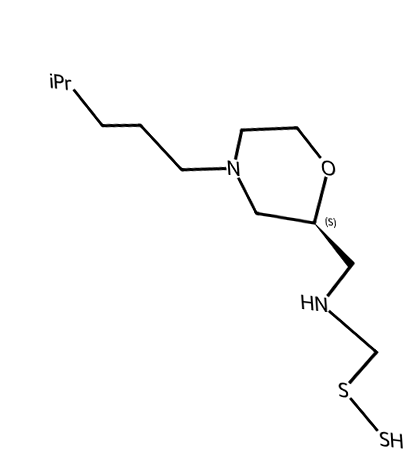 CC(C)CCCN1CCO[C@@H](CNCSS)C1